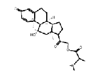 CNC(C)C(=O)OCC(=O)C1CCC2[C@@H]3CCC4=CC(=O)C=C[C@]4(C)C3[C@@H](O)C[C@]12C